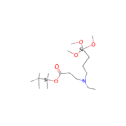 CCN(CCC[Si](OC)(OC)OC)CCC(=O)O[Si](C)(C)C(C)(C)C